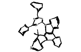 CC1(C)c2cnccc2-c2c1c1c(c3ccccc23)c2ccccc2n1-c1nc(-c2ccccc2)nc(-c2ccccc2)n1